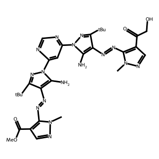 COC(=O)c1cnn(C)c1/N=N/c1c(C(C)(C)C)nn(-c2cc(-n3nc(C(C)(C)C)c(/N=N/c4c(C(=O)CO)cnn4C)c3N)ncn2)c1N